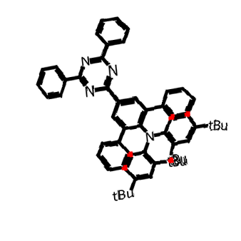 CC(C)(C)c1ccc(N(c2ccc(C(C)(C)C)cc2C(C)(C)C)c2c(-c3ccccc3)cc(-c3nc(-c4ccccc4)nc(-c4ccccc4)n3)cc2-c2ccccc2)c(C(C)(C)C)c1